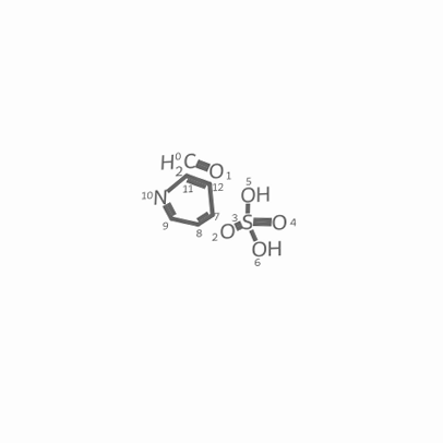 C=O.O=S(=O)(O)O.c1ccncc1